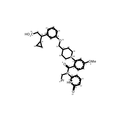 COc1ccc(C(=O)N(CC(C)C)c2cccc(=O)[nH]2)c(N2CCC(COc3cccc(C(CC(=O)O)C4CC4)c3)CC2)c1